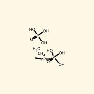 C.CCCCCC.O.O=P(O)(O)O.O=P(O)(O)O